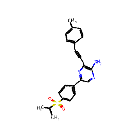 Cc1ccc(C#Cc2nc(-c3ccc(S(=O)(=O)C(C)C)cc3)cnc2N)cc1